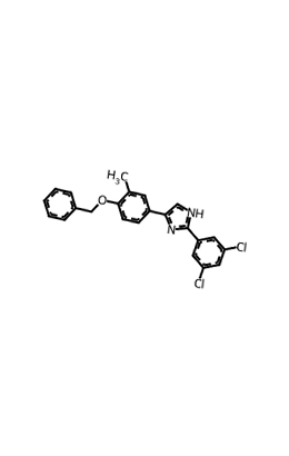 Cc1cc(-c2c[nH]c(-c3cc(Cl)cc(Cl)c3)n2)ccc1OCc1ccccc1